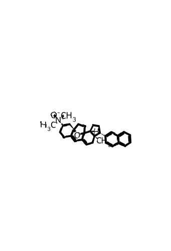 C[C@]12CC=C3C=C4CC[C@H]([N+](C)(C)[O-])C[C@]45CCC3(O5)[C@@H]1CC[C@@H]2c1ccc2ccccc2c1